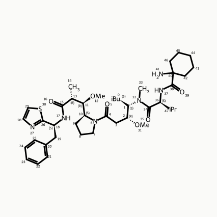 CC[C@H](C)[C@@H]([C@@H](CC(=O)N1CCC[C@H]1[C@H](OC)[C@@H](C)C(=O)N[C@@H](Cc1ccccc1)c1nccs1)OC)N(C)C(=O)[C@@H](NC(=O)C1(N)CCCCC1)C(C)C